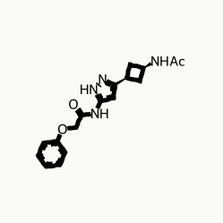 CC(=O)N[C@H]1C[C@@H](c2cc(NC(=O)COc3ccccc3)[nH]n2)C1